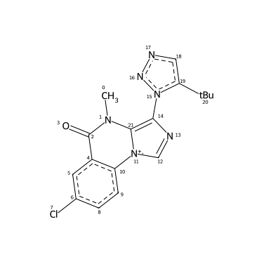 CN1C(=O)c2cc(Cl)ccc2[N+]2C=NC(n3nncc3C(C)(C)C)=C12